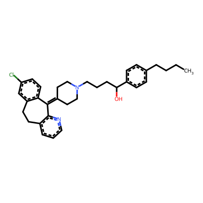 CCCCc1ccc(C(O)CCCN2CCC(=C3c4ccc(Cl)cc4CCc4cccnc43)CC2)cc1